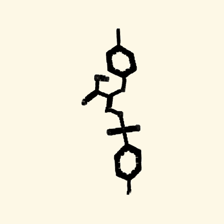 COC(=O)/C(=N/OS(=O)(=O)c1ccc(F)cc1)Sc1ccc(C)cc1